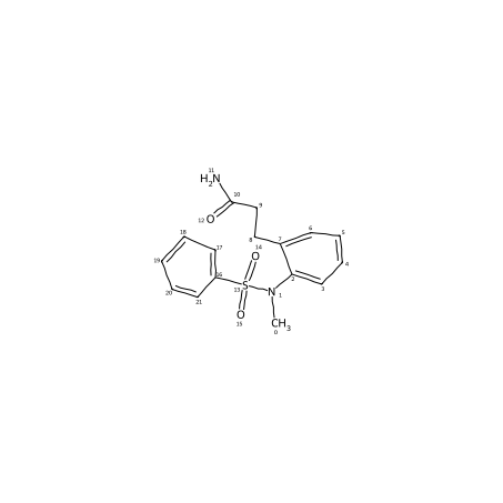 CN(c1ccccc1CCC(N)=O)S(=O)(=O)c1ccccc1